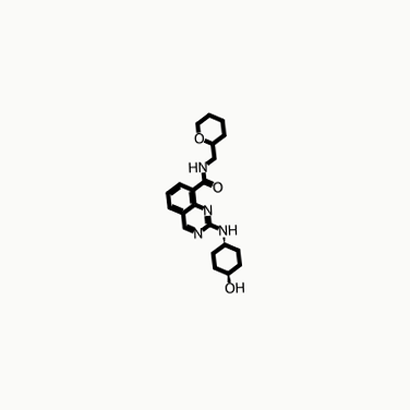 O=C(NCC1CCCCO1)c1cccc2cnc(N[C@H]3CC[C@H](O)CC3)nc12